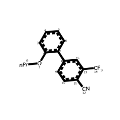 CCCOc1ccccc1-c1ccc(C#N)c(C(F)(F)F)c1